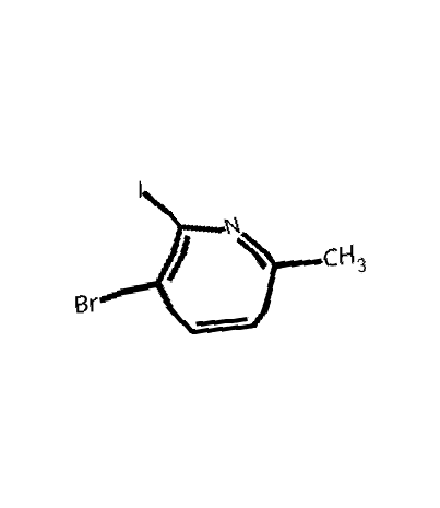 Cc1ccc(Br)c(I)n1